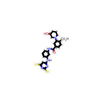 O=C(Nc1cccc(Nc2cc(S)nc(S)n2)c1)c1ccc(C(=O)O)c(N2CCCC(O)C2)c1